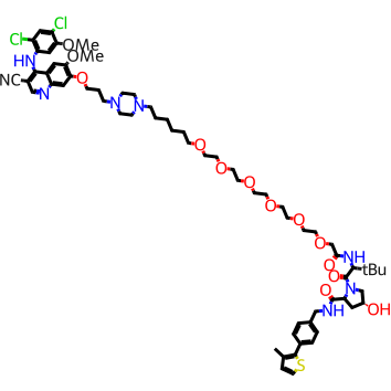 COc1cc(Nc2c(C#N)cnc3cc(OCCCN4CCN(CCCCCCOCCOCCOCCOCCOCCOCC(=O)NC(C(=O)N5C[C@H](O)CC5C(=O)NCc5ccc(-c6sccc6C)cc5)C(C)(C)C)CC4)c(OC)cc23)c(Cl)cc1Cl